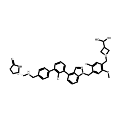 COc1cc(Cn2ncc3c(-c4cccc(-c5ccc(CNC[C@@H]6CCC(=O)N6)cc5)c4Cl)cccc32)c(Cl)cc1CN1CC(C(O)O)C1